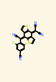 N#CC(C#N)=c1c2ccsc2/c(=C(/C#N)c2c(F)cc(C#N)cc2F)c2ccsc12